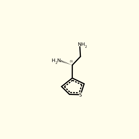 NC[C@@H](N)c1ccsc1